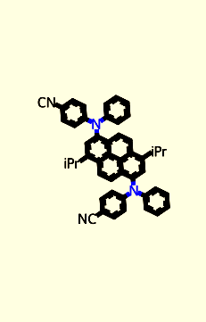 [C-]#[N+]c1ccc(N(c2ccccc2)c2cc(C(C)C)c3ccc4c(N(c5ccccc5)c5ccc(C#N)cc5)cc(C(C)C)c5ccc2c3c54)cc1